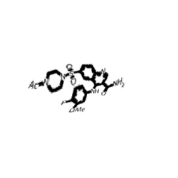 COc1cc(Nc2c(C(N)=O)cnc3ccc(S(=O)(=O)N4CCN(C(C)=O)CC4)cc23)ccc1F